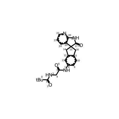 CC(C)(C)C(=O)NCC(=O)Nc1ccc2c(c1)CC1(C2)C(=O)Nc2ncccc21